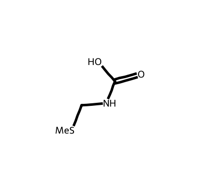 CSCNC(=O)O